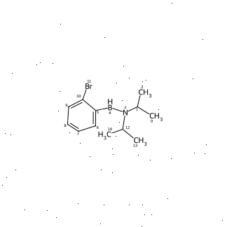 CC(C)N(Bc1ccccc1Br)C(C)C